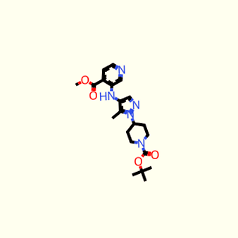 COC(=O)c1ccncc1Nc1cnn(C2CCN(C(=O)OC(C)(C)C)CC2)c1C